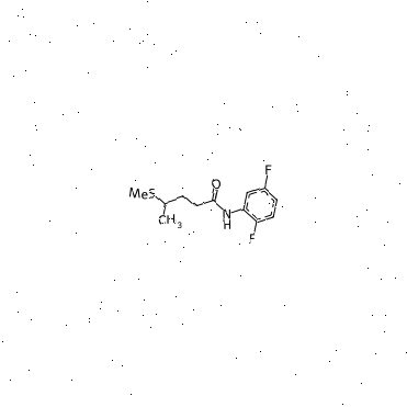 CSC(C)CCC(=O)Nc1cc(F)ccc1F